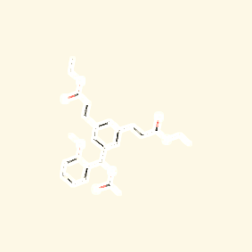 CCOC(=O)/C=C/c1cc(/C=C/C(=O)OCC)cc(C(OC(C)=O)c2ccccc2OC)c1